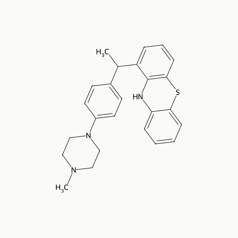 CC(c1ccc(N2CCN(C)CC2)cc1)c1cccc2c1Nc1ccccc1S2